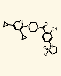 N#Cc1cc(N2CCCS2(=O)=O)ccc1C(=O)N1CCN(c2ncc(C3CC3)cc2C2CC2)CC1